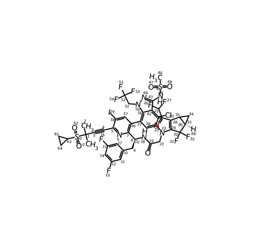 CC(C)(C#Cc1nc([C@H](Cc2cc(F)cc(F)c2)NC(=O)Cn2nc(C(F)F)c3c2C(F)(F)[C@@H]2CC32)c(-c2ccc(Cl)c3c(NS(C)(=O)=O)nn(CC(F)(F)F)c23)cc1I)S(=O)(=O)C1CC1